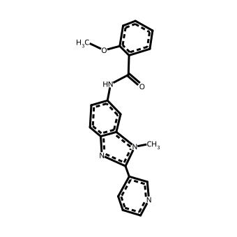 COc1ccccc1C(=O)Nc1ccc2nc(-c3cccnc3)n(C)c2c1